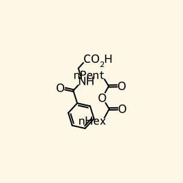 CCCCCCC(=O)OC(=O)CCCCC.O=C(O)CNC(=O)c1ccccc1